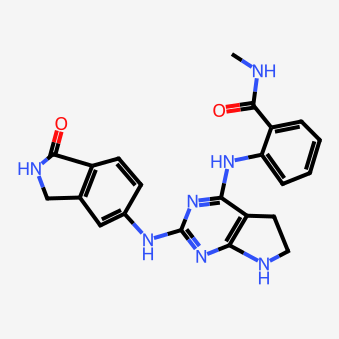 CNC(=O)c1ccccc1Nc1nc(Nc2ccc3c(c2)CNC3=O)nc2c1CCN2